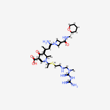 CC(/C=C(\N)N1CC(C(=O)NC[C@H]2CCCCO2)C1)=C1\C(=O)C(C(=O)O)=CN(C(C)SCCNCN(C)C(=N)NC(=N)N)C1C